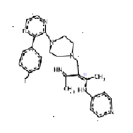 CC(=N)/C(CN1CCN(c2nccnc2-c2ccc(F)cc2)CC1)=C(/C)Nc1ccncc1